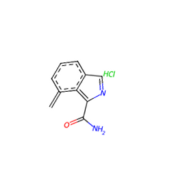 C=c1cccc2c1=C(C(N)=O)N=C2.Cl